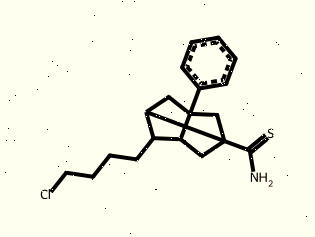 NC(=S)C12CC3C(CCCCCl)C1CC3(c1ccccc1)C2